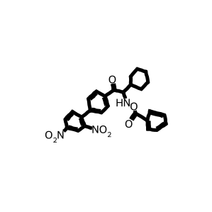 O=C(ONC(C(=O)c1ccc(-c2ccc([N+](=O)[O-])cc2[N+](=O)[O-])cc1)C1CCCCC1)c1ccccc1